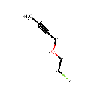 [CH2]C#CCOCCF